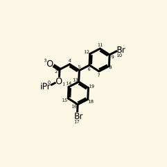 CC(C)OC(=O)C=C(c1ccc(Br)cc1)c1ccc(Br)cc1